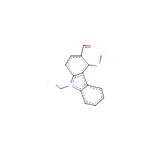 CCn1c2ccccc2c2c(OC)c(C=O)ccc21